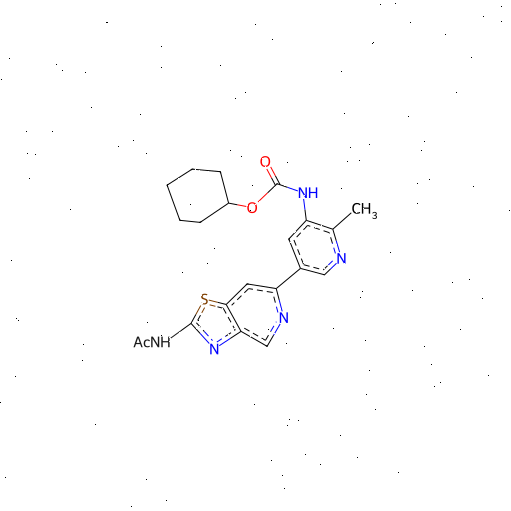 CC(=O)Nc1nc2cnc(-c3cnc(C)c(NC(=O)OC4CCCCC4)c3)cc2s1